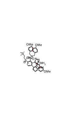 COc1ccc(CN(Cc2ccc(OC)cc2)S(=O)(=O)c2c(S(=O)(=O)CC[Si](C)(C)C)ccc(-c3cccc4[nH]c(N)nc34)c2-c2nnnn2Cc2ccc(OC)cc2)cc1